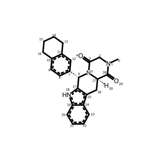 CN1CC(=O)N2[C@@H](c3ccc4c(c3)CCCC4)c3[nH]c4ccccc4c3C[C@@H]2C1=O